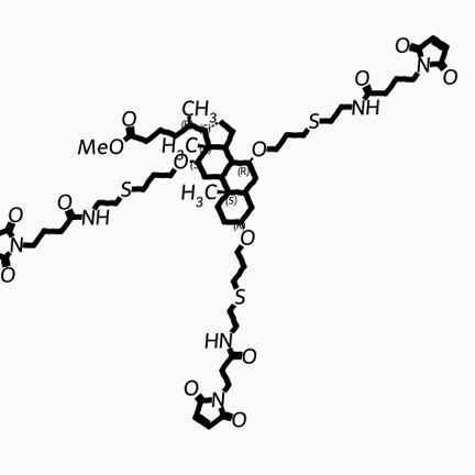 COC(=O)CCC[C@@H](C)[C@@H]1CCC2C3C(C[C@H](OCCCSCCNC(=O)CCCN4C(=O)C=CC4=O)[C@@]21C)[C@@]1(C)CC[C@@H](OCCCSCCNC(=O)CCN2C(=O)C=CC2=O)CC1C[C@H]3OCCCSCCNC(=O)CCCN1C(=O)C=CC1=O